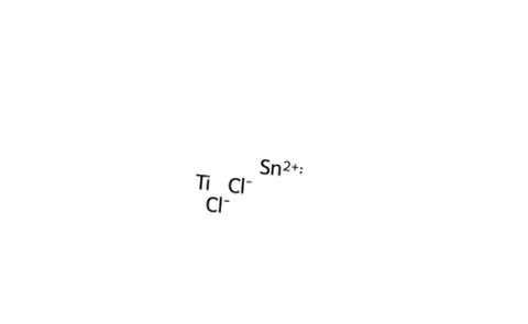 [Cl-].[Cl-].[Sn+2].[Ti]